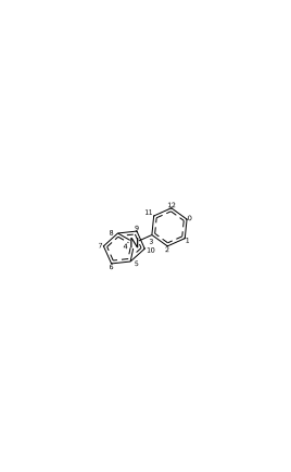 c1ccc(-n2c3ccc2cc3)cc1